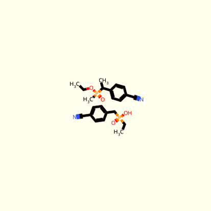 CCOP(C)(=O)C(C)c1ccc(C#N)cc1.CCP(=O)(O)Cc1ccc(C#N)cc1